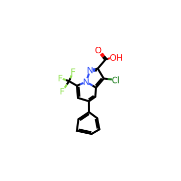 O=C(O)c1nn2c(C(F)(F)F)cc(-c3ccccc3)cc2c1Cl